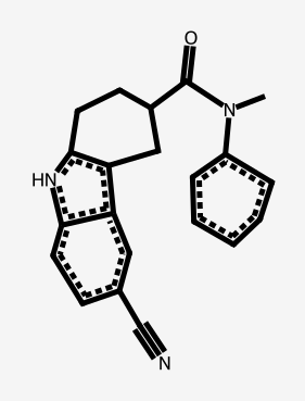 CN(C(=O)C1CCc2[nH]c3ccc(C#N)cc3c2C1)c1ccccc1